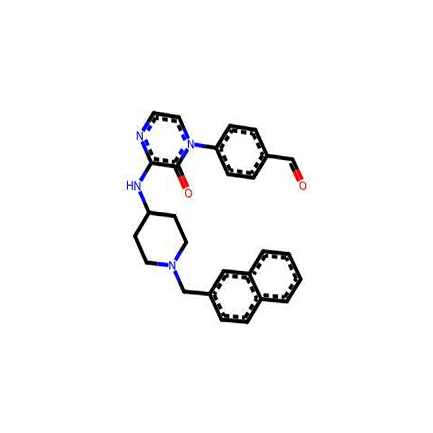 O=Cc1ccc(-n2ccnc(NC3CCN(Cc4ccc5ccccc5c4)CC3)c2=O)cc1